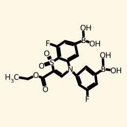 CCOC(=O)C1=CN(c2cc(F)cc(B(O)O)c2)c2cc(B(O)O)cc(F)c2S1(=O)=O